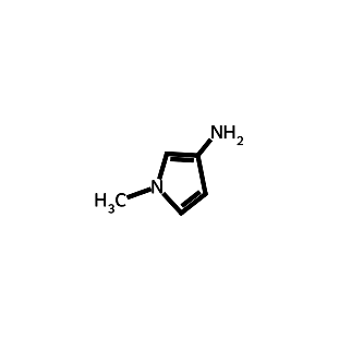 Cn1ccc(N)c1